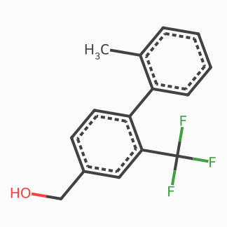 Cc1ccccc1-c1ccc(CO)cc1C(F)(F)F